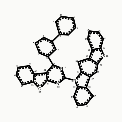 c1ccc(-c2cccc(-c3nc(-n4c5ccccc5c5cc6sc7ccccc7c6cc54)nc4oc5ccccc5c34)c2)cc1